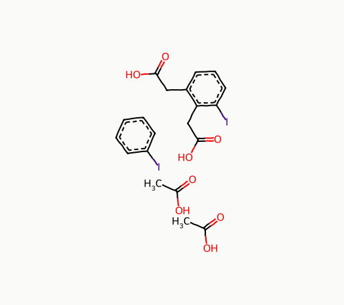 CC(=O)O.CC(=O)O.Ic1ccccc1.O=C(O)Cc1cccc(I)c1CC(=O)O